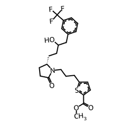 COC(=O)c1ccc(CCCN2C(=O)CC[C@@H]2CCC(O)Cc2cccc(C(F)(F)F)c2)s1